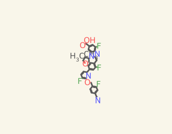 CC1(C)COC[C@H]1n1c(Cc2ccc(-c3ccc(F)c(OCc4ccc(C#N)cc4F)n3)cc2F)nc2c(F)cc(C(=O)O)cc21